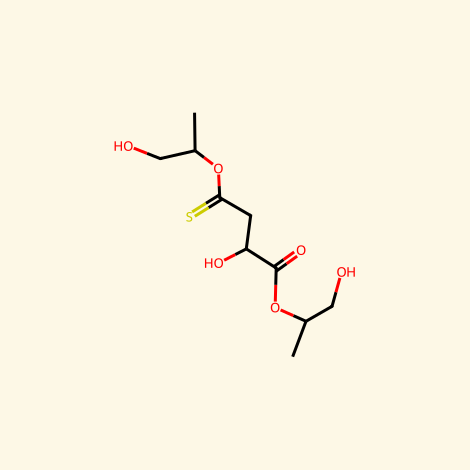 CC(CO)OC(=O)C(O)CC(=S)OC(C)CO